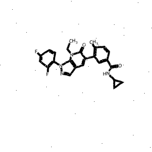 CCn1c(=O)c(-c2cc(C(=O)NC3CC3)ccc2C)cc2cnn(-c3ccc(F)cc3F)c21